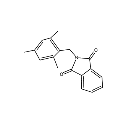 Cc1cc(C)c(CN2C(=O)c3ccccc3C2=O)c(C)c1